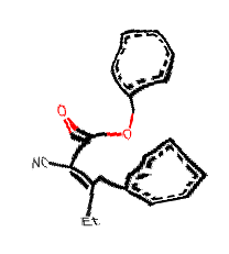 CCC(=C(C#N)C(=O)Oc1ccccc1)c1ccccc1